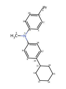 CC(C)c1ccc(N(C)c2ccc(C3CCCCC3)cc2)cc1